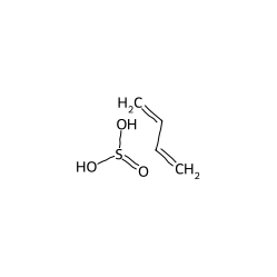 C=CC=C.O=S(O)O